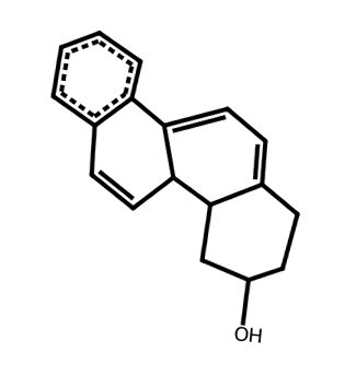 OC1CCC2=CC=C3c4ccccc4C=CC3C2C1